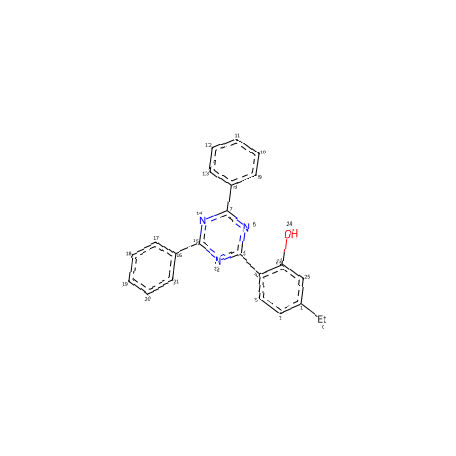 CCc1ccc(-c2nc(-c3ccccc3)nc(-c3ccccc3)n2)c(O)c1